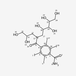 NC(=O)c1c(I)c(I)c(C(=O)N(CC(O)CO)CC(O)C(O)C(O)CO)c(I)c1I